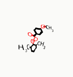 COc1ccc(C(=O)OO[C]2C(C)CCCC2C)cc1